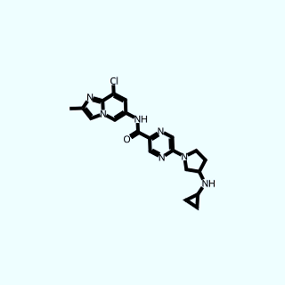 Cc1cn2cc(NC(=O)c3cnc(N4CCC(NC5CC5)C4)cn3)cc(Cl)c2n1